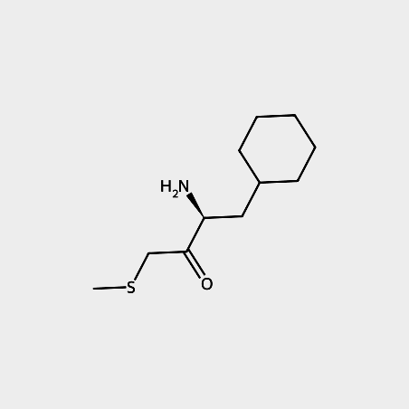 CSCC(=O)[C@@H](N)CC1CCCCC1